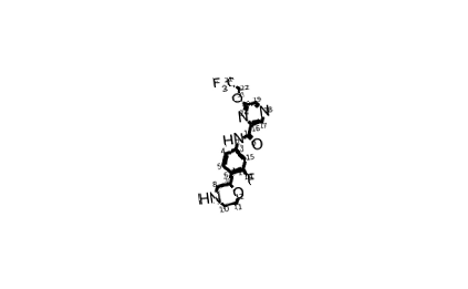 O=C(Nc1ccc(C2CNCCO2)c(F)c1)c1cncc(OCC(F)(F)F)n1